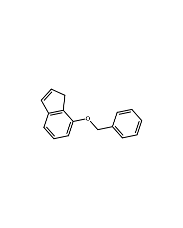 C1=Cc2cccc(OCc3ccccc3)c2C1